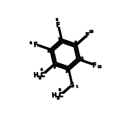 CSc1c(C)c(F)c(F)c(F)c1F